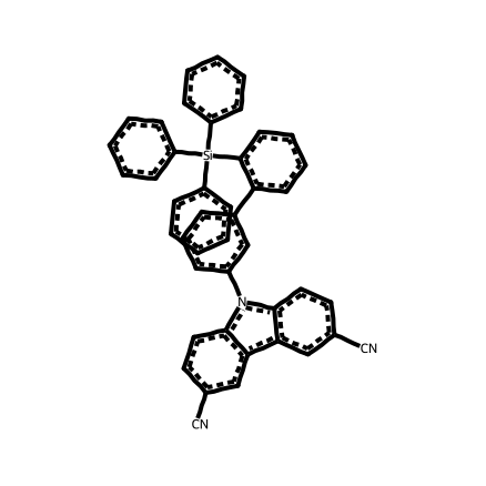 N#Cc1ccc2c(c1)c1cc(C#N)ccc1n2-c1cccc(-c2ccccc2[Si](c2ccccc2)(c2ccccc2)c2ccccc2)c1